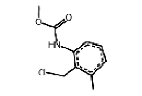 COC(=O)Nc1cccc(C)c1CCl